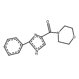 O=C(c1c[nH]c(-c2cc[c]cc2)n1)N1CCOCC1